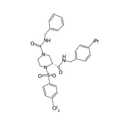 CC(C)c1ccc(CNC(=O)[C@H]2CN(C(=O)NCc3ccccc3)CCN2S(=O)(=O)c2ccc(C(F)(F)F)cc2)cc1